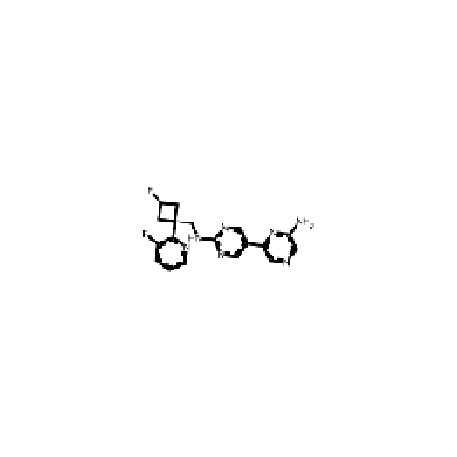 Nc1cncc(-c2cnc(NC[C@]3(c4ncccc4F)C[C@H](F)C3)nc2)n1